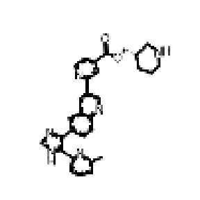 Cc1cccc(-c2[nH]cnc2-c2ccc3ncc(-c4cc(C(=O)OC[C@H]5CCCNC5)ccn4)cc3c2)n1